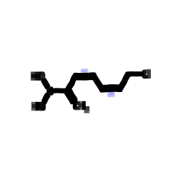 C=C(/C=C\C=C/CCl)B(O)O